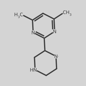 Cc1cc(C)nc(C2CNCC[N]2)n1